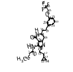 CSCC(=O)Nc1c2c(nn1CCC1CC1)C[C@H](CCc1cccc(OCC(F)(F)F)c1)NC2=O